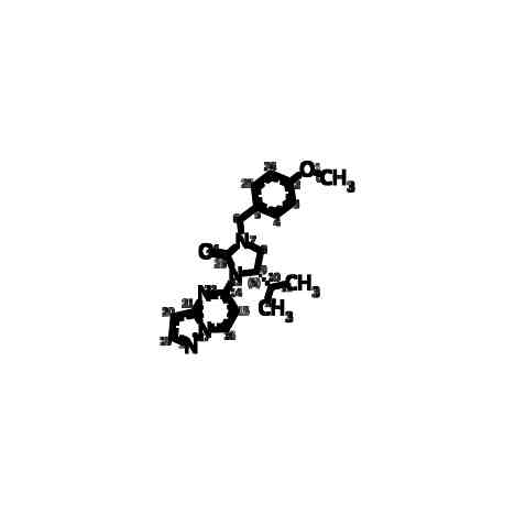 COc1ccc(CN2C[C@H](C(C)C)N(c3ccn4nccc4n3)C2=O)cc1